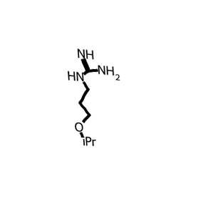 CC(C)OCCCNC(=N)N